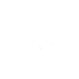 CC1CCCC(C2OC[C@H]2N2CCCNCCC2)CCC1